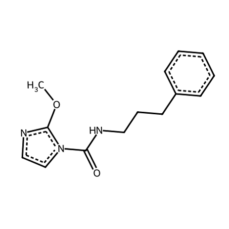 COc1nccn1C(=O)NCCCc1ccccc1